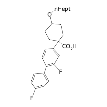 CCCCCCCOC1CCC(C(=O)O)(c2ccc(-c3ccc(F)cc3)c(F)c2)CC1